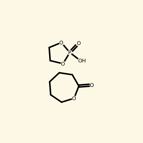 O=C1CCCCCO1.O=P1(O)OCCO1